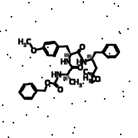 COc1ccc(C[C@H](NC(=O)[C@H](C)NC(=O)OCc2ccccc2)C(=O)N[C@@H](Cc2ccccc2)C[C@@]2(C)CO2)cc1